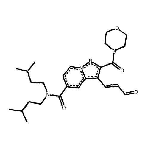 CC(C)CCN(CCC(C)C)C(=O)c1ccn2nc(C(=O)N3CCOCC3)c(C=CC=O)c2c1